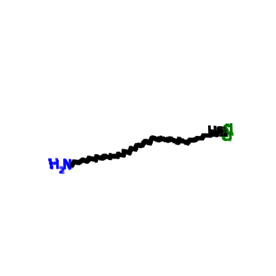 NCCCCCCCCCCCCCCCCCCCCCCCCCCCCCCCCCCCCCCCC[SiH](Cl)Cl